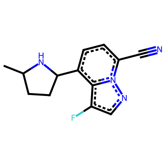 CC1CCC(c2ccc(C#N)n3ncc(F)c23)N1